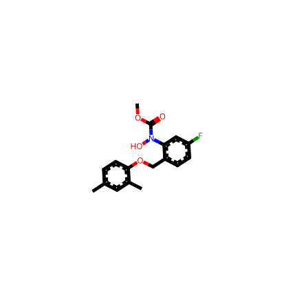 COC(=O)N(O)c1cc(F)ccc1COc1ccc(C)cc1C